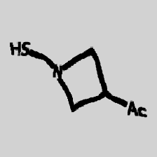 CC(=O)C1CN(S)C1